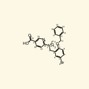 CN(Cc1cc(Br)ccc1OCc1ccccc1)c1ccc(C(=O)O)cn1